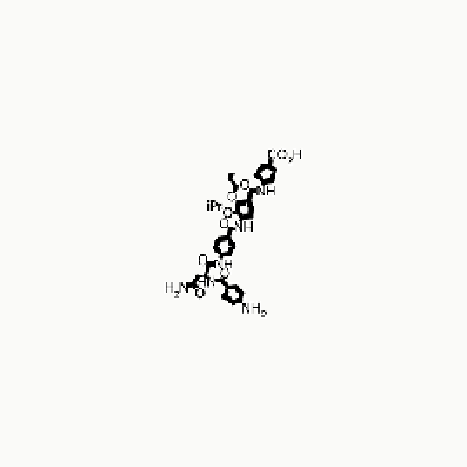 C=CCOc1c(C(=O)Nc2ccc(C(=O)O)cc2)ccc(NC(=O)c2ccc(NC(=O)[C@H](CC(N)=O)NC(=O)c3ccc(N)cc3)cc2)c1OC(C)C